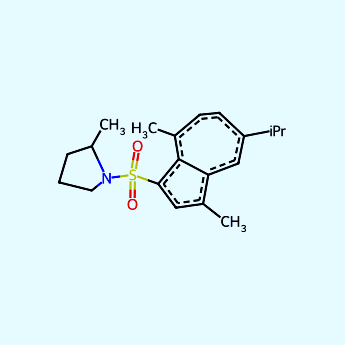 Cc1cc(S(=O)(=O)N2CCCC2C)c2c(C)ccc(C(C)C)cc1-2